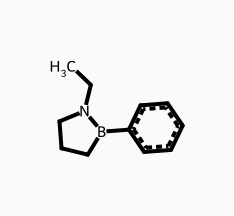 CCN1CCCB1c1ccccc1